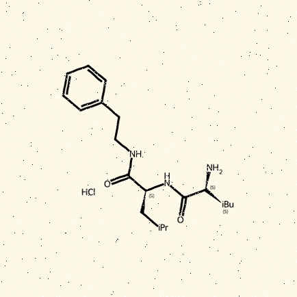 CC[C@H](C)[C@H](N)C(=O)N[C@@H](CC(C)C)C(=O)NCCc1ccccc1.Cl